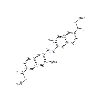 CCCCCCCCCCCC(C)c1ccc2cc(/C=C/c3cc4ccc(C(C)CCCCCCCCCCC)cc4cc3SC)c(C)cc2c1